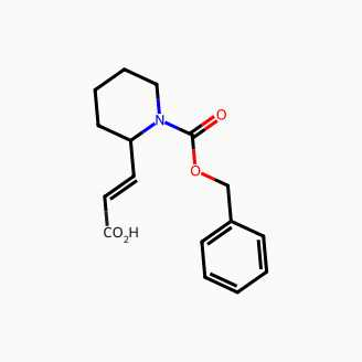 O=C(O)C=CC1CCCCN1C(=O)OCc1ccccc1